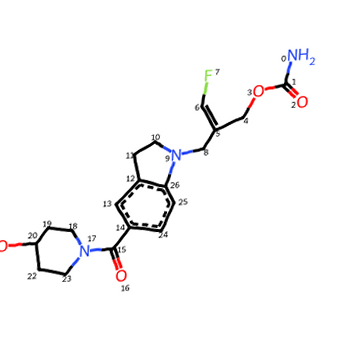 NC(=O)OCC(=CF)CN1CCc2cc(C(=O)N3CCC(O)CC3)ccc21